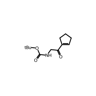 CC(C)(C)OC(=O)NCC(=O)C1=CCCC1